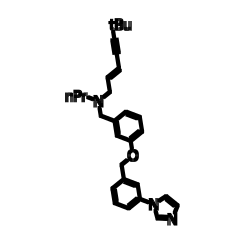 CCCN(CC=CC#CC(C)(C)C)Cc1cccc(OCc2cccc(-n3ccnc3)c2)c1